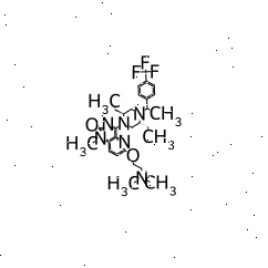 CC[C@H]1CN(C(C)c2ccc(C(F)(F)F)cc2)[C@H](CC)CN1c1nc(=O)n(C)c2ccc(OCCN(C)C)nc12